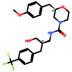 COc1ccc(C[C@H]2CN(C(=O)NC[C@H](CO)Cc3ccc(C(F)(F)F)cc3)CCO2)cc1